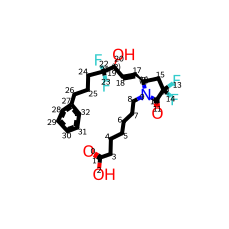 O=C(O)CCCCCCN1C(=O)C(F)(F)C[C@@H]1C=C[C@@H](O)C(F)(F)CCCc1ccccc1